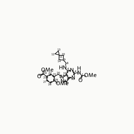 COC(=O)Nc1nc(NCC2CC3(CC3)C2)c2c(cnn2Cc2cc(C(=O)OC)ccc2OC)n1